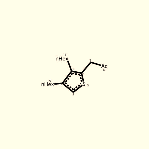 CCCCCCc1csc(CC(C)=O)c1CCCCCC